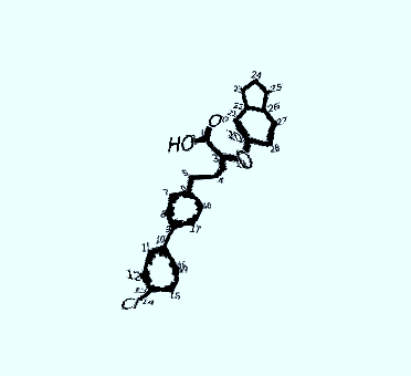 O=C(O)C(CCc1ccc(-c2ccc(Cl)cc2)cc1)OC1=CC2CCCC2C=C1